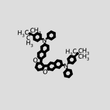 CC(C)(C)c1ccc(N(c2ccccc2)c2ccc3cc4c(cc3c2)oc2ccc3oc5cc6cc(N(c7ccccc7)c7ccc(C(C)(C)C)cc7)ccc6cc5c3c24)cc1